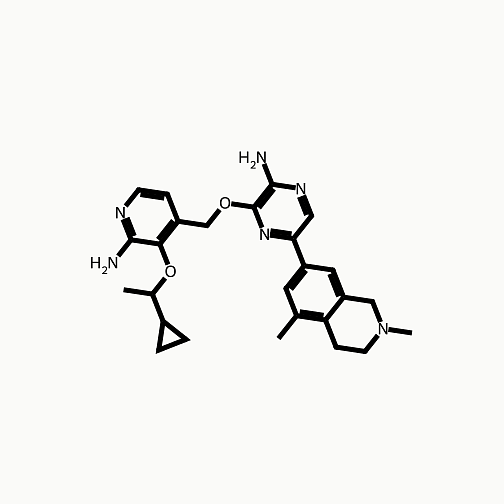 Cc1cc(-c2cnc(N)c(OCc3ccnc(N)c3OC(C)C3CC3)n2)cc2c1CCN(C)C2